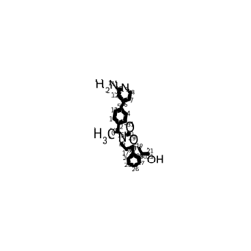 C[C@@H](c1ccc(-c2ccnc(N)c2)cc1)N1CC[C@](CCCO)(c2ccccc2)OC1=O